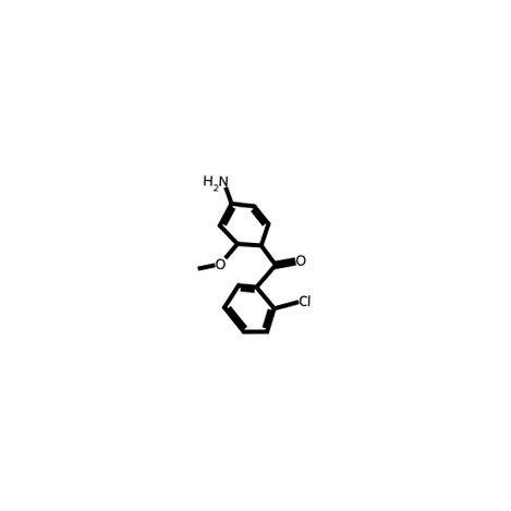 COC1C=C(N)C=CC1C(=O)c1ccccc1Cl